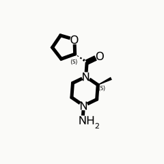 C[C@H]1CN(N)CCN1C(=O)[C@@H]1CCCO1